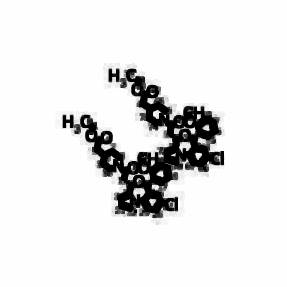 CCOC(=O)CC1CCN(C(=O)C[C@@H]2O[C@@H](c3ccccc3OC)c3cc(Cl)ccc3-n3cccc32)CC1.CCOC(=O)CC1CCN(C(=O)C[C@H]2O[C@H](c3ccccc3OC)c3cc(Cl)ccc3-n3cccc32)CC1